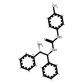 Cc1ccc(NC(=S)N[C@@H](c2ccccc2)[C@@H](N)c2ccccc2)cc1